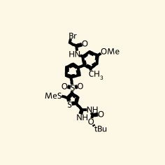 COc1cc(C)c(-c2cccc(S(=O)(=O)c3cc(C(=N)NC(=O)OC(C)(C)C)sc3SC)c2)c(NC(=O)CBr)c1